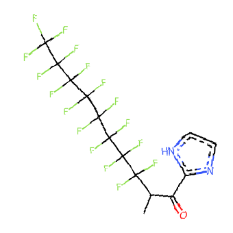 CC(C(=O)c1ncc[nH]1)C(F)(F)C(F)(F)C(F)(F)C(F)(F)C(F)(F)C(F)(F)C(F)(F)C(F)(F)F